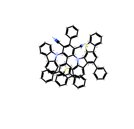 N#Cc1c(-c2ccccc2)c(C#N)c(-n2c3c(ccc4c5ccccc5sc43)c3c(-c4ccccc4)cc4c5ccccc5sc4c32)c(-c2cc(-c3ccccc3)cc(-c3ccccc3)c2)c1-n1c2ccccc2c2ccccc21